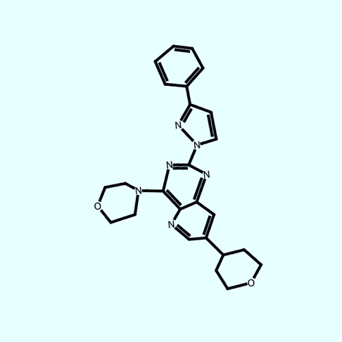 c1ccc(-c2ccn(-c3nc(N4CCOCC4)c4ncc(C5CCOCC5)cc4n3)n2)cc1